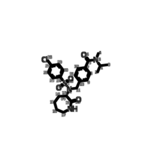 CC(C)N(C)C(=O)c1ccc(CN([C@@H]2CCCCNC2=O)S(=O)(=O)c2ccc(Cl)cc2)cc1